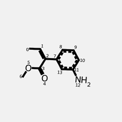 CC=C(C(=O)OC)c1cccc(N)c1